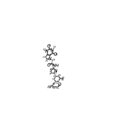 CCCCCOc1c(F)cc(-c2csc(NC(=O)Cn3ccc4c3c(=O)n(C)c(=O)n4C)n2)cc1F